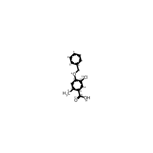 Cc1cc(OCc2ccccc2)c(Cl)cc1C(=O)O